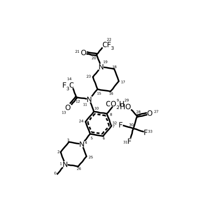 CN1CCN(c2ccc(C(=O)O)c(N(C(=O)C(F)(F)F)C3CCCN(C(=O)C(F)(F)F)C3)c2)CC1.O=C(O)C(F)(F)F